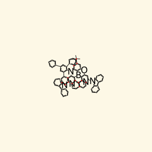 CC(C)(C)c1cc2c3c(c1)N(c1c(-c4ccccc4)cc(-c4ccccc4)cc1-c1ccccc1)c1cc(-n4c5ccccc5c5ccccc54)nc(-c4ccccc4)c1B3c1c(cc(-n3c4ccccc4c4ccccc43)nc1-c1ccccc1)O2